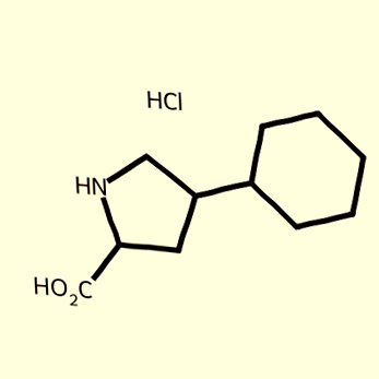 Cl.O=C(O)C1CC(C2CCCCC2)CN1